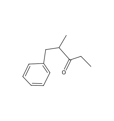 CCC(=O)C(C)Cc1ccccc1